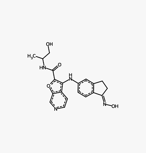 CC(CO)NC(=O)c1oc2cnccc2c1Nc1ccc2c(c1)CCC2=NO